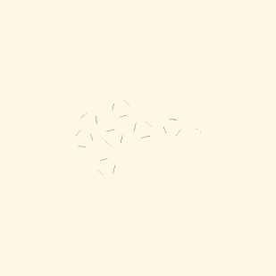 CC1(C)c2cc(C#N)ccc2-c2ccc(-c3cc(-c4ccccc4)c4c(c3-c3ccccc3)-c3cccc5cccc-4c35)cc21